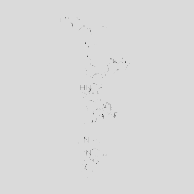 CC1(C)CCC(CN2CCN(c3ccc(C(=O)NS(=O)(=O)c4ccc(OCCCN5CCN(C(=O)OC(C)(C)C)C(C(C)(C)C)C5)c(S(=O)(=O)C(F)(F)F)c4)c(Oc4cnc5[nH]ccc5c4)c3)CC2)=C(c2ccc(Cl)cc2)C1